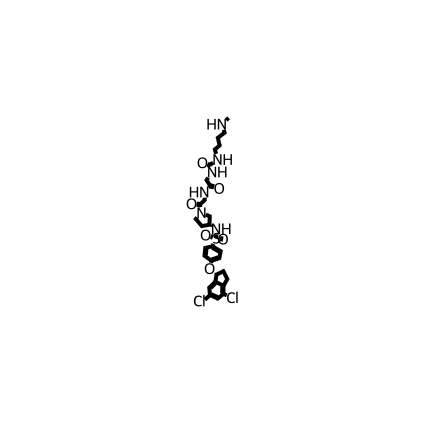 CNCCCCNC(=O)NCC(=O)NCC(=O)N1CC[C@H](NS(=O)(=O)c2ccc(O[C@@H]3CCc4c(Cl)cc(Cl)cc43)cc2)C1